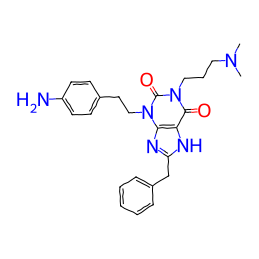 CN(C)CCCn1c(=O)c2[nH]c(Cc3ccccc3)nc2n(CCc2ccc(N)cc2)c1=O